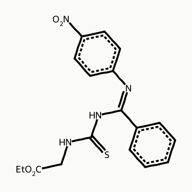 CCOC(=O)CNC(=S)NC(=Nc1ccc([N+](=O)[O-])cc1)c1ccccc1